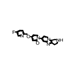 O=c1cc(OCc2ccc(F)cn2)ccn1-c1ccn2c3c(nc2c1)CCNC3